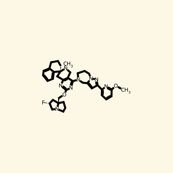 COc1cccc(-c2cc3n(n2)CCCN(c2nc(OC[C@@]45CCCN4C[C@H](F)C5)nc4c2CN(C)[C@@]2(CCCc5ccccc52)C4)C3)n1